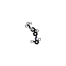 O=C(O)CCN1CCC2(CC1)COc1cc(/C=C/c3c(Cl)cccc3Cl)ccc12